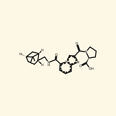 CC1(C)[C@H]2CC[C@@H](CNC(=O)c3cccc4nc(C(=O)N5CCC[C@H]5C(=O)O)cn34)[C@H]1C2